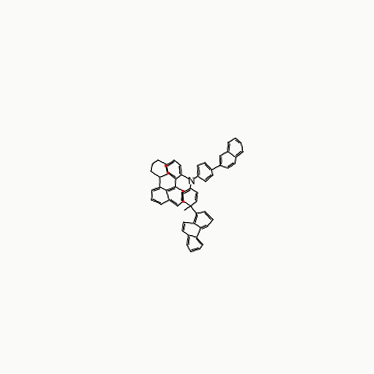 CC1(c2cccc3c2ccc2ccccc23)C=CC(N(c2ccc(-c3ccc4ccccc4c3)cc2)c2ccccc2-c2cccc3cccc(C4CCCCC4)c23)=CC1